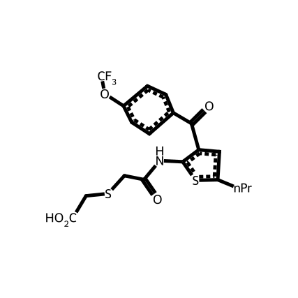 CCCc1cc(C(=O)c2ccc(OC(F)(F)F)cc2)c(NC(=O)CSCC(=O)O)s1